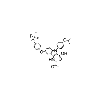 CC(=O)CNc1c(C(=O)O)n(-c2ccc(OC(C)C)cc2)c2ccc(Oc3ccc(OC(F)(F)F)cc3)cc12